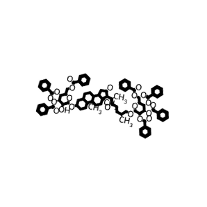 C[C@@H](CCC(=O)[C@@H](C)C1C(=O)CC2C3CCC4CC(O[C@@H]5OC(COC(=O)c6ccccc6)[C@@H](OC(=O)c6ccccc6)[C@H](OC(=O)c6ccccc6)C5O)CCC4(C)C3CCC21C)CO[C@@H]1OC(COC(=O)c2ccccc2)[C@H](OC(=O)c2ccccc2)[C@H](OC(=O)c2ccccc2)C1OC(=O)c1ccccc1